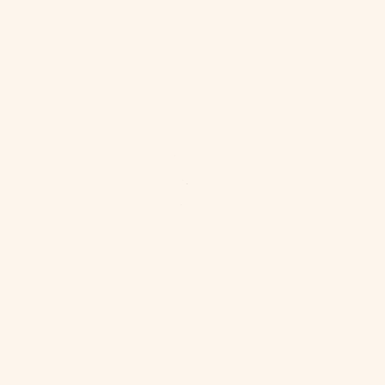 C1CC[CH]([Sb]([CH]2CCCC2)[CH]2CCCC2)C1